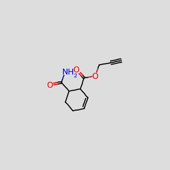 C#CCOC(=O)C1C=CCCC1C(N)=O